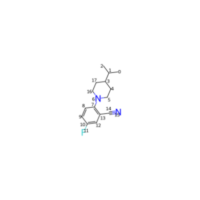 CC(C)C1CCN(c2ccc(F)cc2C#N)CC1